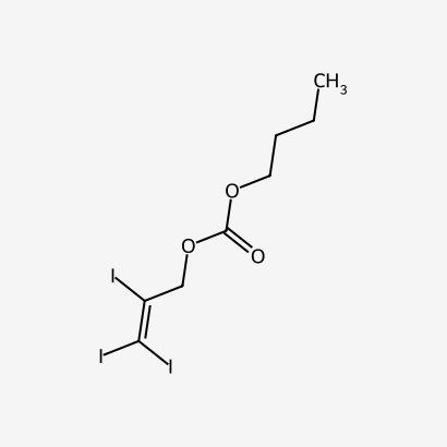 CCCCOC(=O)OCC(I)=C(I)I